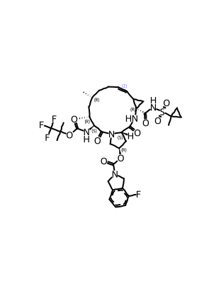 C[C@@H]1CC/C=C\C2C[C@@]2(C(=O)NS(=O)(=O)C2(C)CC2)NC(=O)[C@@H]2C[C@@H](OC(=O)N3Cc4cccc(F)c4C3)CN2C(=O)[C@@H](NC(=O)OC(C)(C)C(F)(F)F)[C@H](C)C1